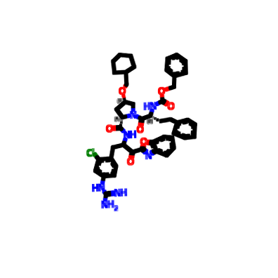 N=C(N)Nc1ccc(CC(NC(=O)[C@@H]2C[C@@H](OCC3CCCCC3)CN2C(=O)[C@@H](CCc2ccccc2)NC(=O)OCc2ccccc2)C(=O)c2nc3ccccc3o2)c(Cl)c1